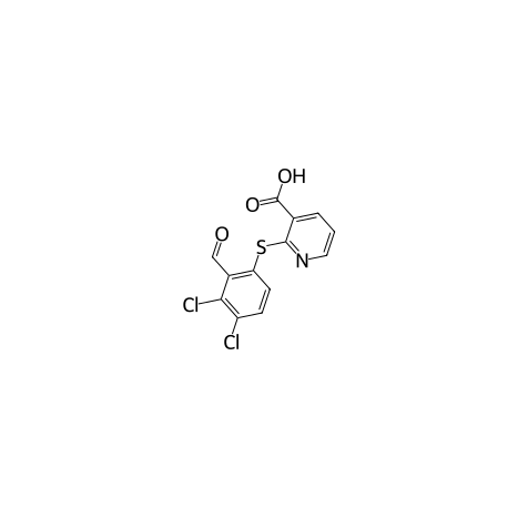 O=Cc1c(Sc2ncccc2C(=O)O)ccc(Cl)c1Cl